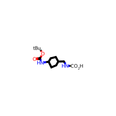 CC(C)(C)OC(=O)NC1CCC(CNC(=O)O)CC1